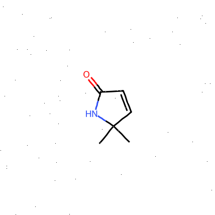 CC1(C)C=CC(=O)N1